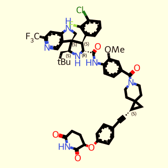 COc1cc(C(=O)N2CCC3(CC2)C[C@@H]3C#Cc2ccc(OC3CCC(=O)NC3=O)cc2)ccc1NC(=O)[C@@H]1N[C@@H](CC(C)(C)C)[C@@]2(CNc3cc(C(F)(F)F)ncc32)[C@H]1c1cccc(Cl)c1F